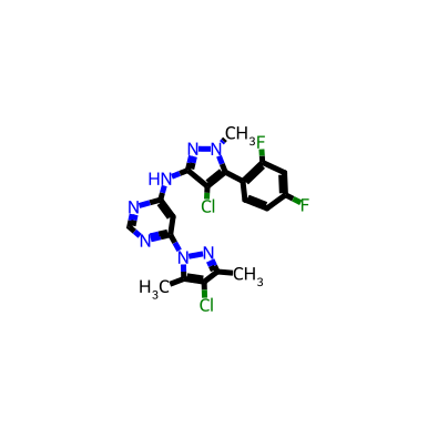 Cc1nn(-c2cc(Nc3nn(C)c(-c4ccc(F)cc4F)c3Cl)ncn2)c(C)c1Cl